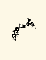 Cn1cncc1-c1cn([C@H]2C[C@H](CNc3ccc4c(c3)C(=O)N(C3CCC(=O)NC3=O)C4=O)C2)nc1C1CC1